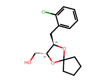 OC[C@H]1OC2(CCCC2)O[C@@H]1Cc1ccccc1Cl